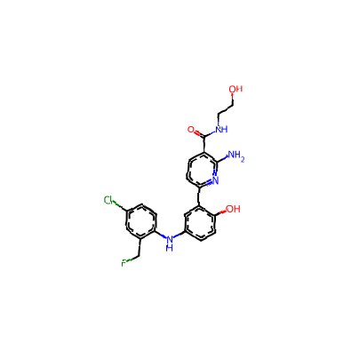 Nc1nc(-c2cc(Nc3ccc(Cl)cc3CF)ccc2O)ccc1C(=O)NCCO